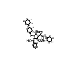 CCC(C)C1N(Cc2ccc(-c3ccccc3)cc2)C(C(O)n2cnnn2)=C(SC)N1C(=O)NCc1ccccc1